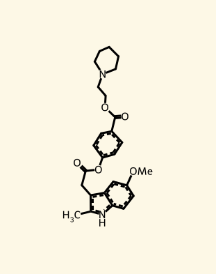 COc1ccc2[nH]c(C)c(CC(=O)Oc3ccc(C(=O)OCCN4CCCCC4)cc3)c2c1